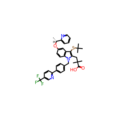 C[C@@H](Oc1ccc2c(c1)c(SC(C)(C)C)c(CC(C)(C)C(=O)O)n2Cc1ccc(-c2ccc(C(F)(F)F)cn2)cc1)c1ccccn1